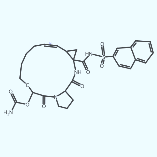 NC(=O)OC1CCCCC/C=C\C2CC2(C(=O)NS(=O)(=O)c2ccc3ccccc3c2)NC(=O)C2CCCN2C1=O